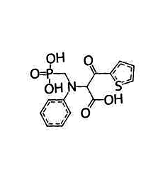 O=C(O)C(C(=O)c1cccs1)N(CP(=O)(O)O)c1ccccc1